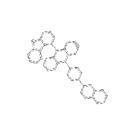 c1cc2c(-c3ccc(-c4ccc5ccccc5c4)cc3)c3ccccc3c(-c3cccc4sc5ccccc5c34)c2cc#1